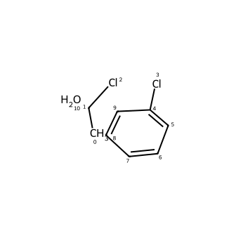 CCCl.Clc1ccccc1.O